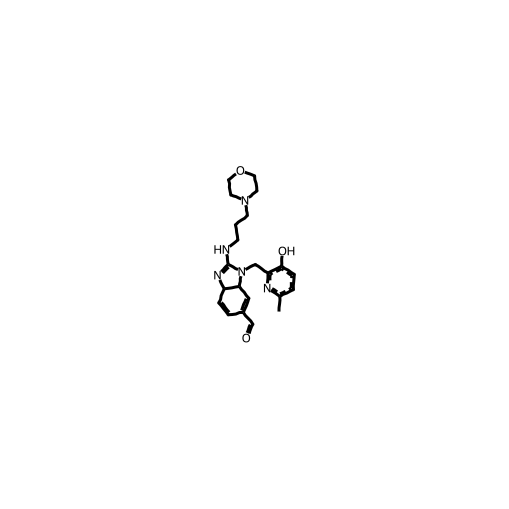 Cc1ccc(O)c(CN2C(NCCCN3CCOCC3)=NC3C=CC(C=O)=CC32)n1